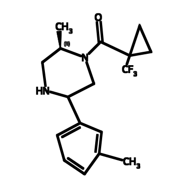 Cc1cccc(C2CN(C(=O)C3(C(F)(F)F)CC3)[C@H](C)CN2)c1